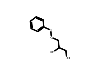 OCC(O)COPc1ccccc1